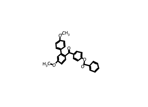 COc1ccc(-c2cc(OC)ccc2C(=O)c2ccc(OC(=O)c3ccccc3)cc2)cc1